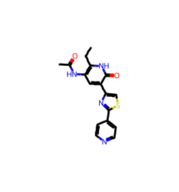 CCc1[nH]c(=O)c(-c2csc(-c3ccncc3)n2)cc1NC(C)=O